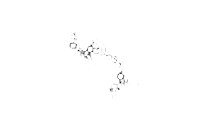 COc1cc2c(N[C@H](C)c3cccc(C(F)(F)CO)c3)nc(C)nc2c(CCCCCCN2CCN(C(=O)COc3ccc4c(C5CCC(=O)NC5=O)nn(C)c4c3)CC2)c1OC